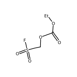 CCOC(=O)OCS(=O)(=O)F